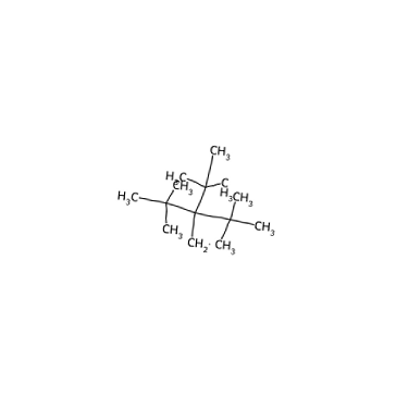 [CH2]C(C(C)(C)C)(C(C)(C)C)C(C)(C)C